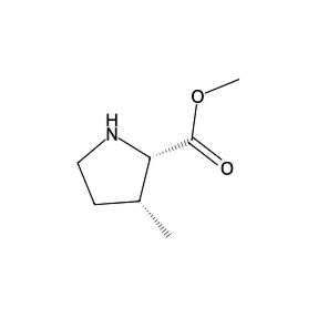 COC(=O)[C@H]1NCC[C@H]1C